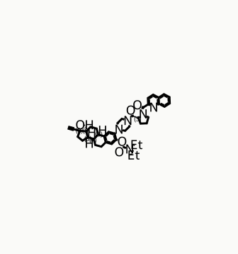 C#C[C@@]1(O)CC[C@H]2[C@@H]3CCc4cc(OC(=O)N(CC)CC)c(N5CCN(C(=O)[C@@H]6CCCN6C(=O)c6ccc7ccccc7n6)CC5)cc4[C@H]3CC[C@@]21C